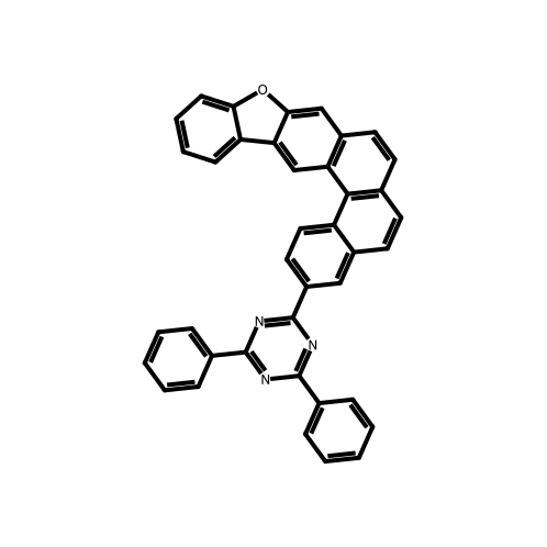 c1ccc(-c2nc(-c3ccccc3)nc(-c3ccc4c(ccc5ccc6cc7oc8ccccc8c7cc6c54)c3)n2)cc1